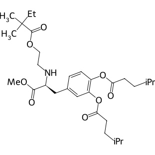 CCC(C)(C)C(=O)OCCN[C@@H](Cc1ccc(OC(=O)CCC(C)C)c(OC(=O)CCC(C)C)c1)C(=O)OC